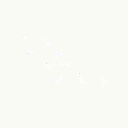 COC1CCCC1Nc1cc(NC(=O)N2c3nc(C=O)ccc3C3(OC4COC4)CC2C3)ncc1C#N